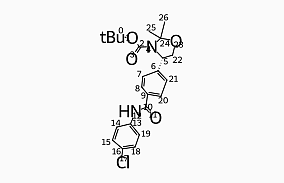 CC(C)(C)OC(=O)N1[C@@H](c2ccc(C(=O)Nc3ccc(Cl)cc3)cc2)COC1(C)C